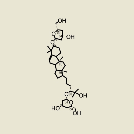 CC(C)(O)[C@@H](CCCC1CCC2C3CC=C4C(CC[C@H](O[C@H]5C[C@@H](O)C[C@@H](CO)O5)C4(C)C)[C@]3(C)CC[C@]12C)O[C@H]1C[C@@H](O)C[C@@H](CO)O1